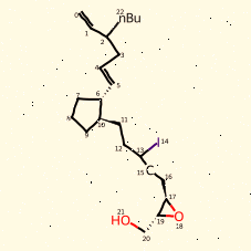 C=CC(CC=C[C@H]1CCC[C@@H]1CCC(I)CC[C@H]1O[C@@H]1CO)CCCC